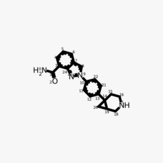 NC(=O)c1cccc2cn(-c3ccc(C45CCNCC4C5)cc3)nc12